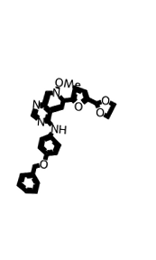 CON1C=c2ncnc(Nc3ccc(OCc4ccccc4)cc3)c2=CC1c1ccc(C2OCCO2)o1